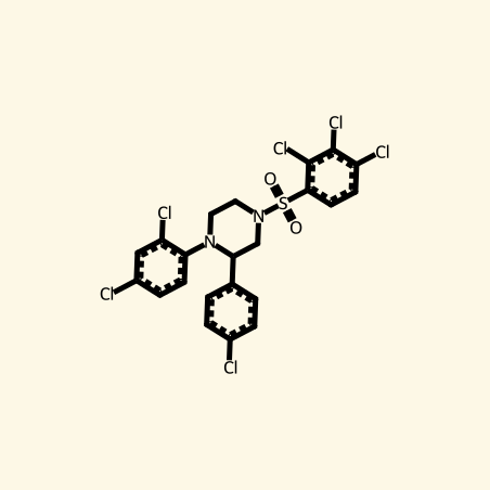 O=S(=O)(c1ccc(Cl)c(Cl)c1Cl)N1CCN(c2ccc(Cl)cc2Cl)C(c2ccc(Cl)cc2)C1